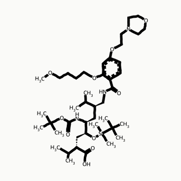 COCCCCOc1cc(OCCN2CCOCC2)ccc1C(=O)NC[C@@H](C[C@H](NC(=O)OC(C)(C)C)[C@H](C[C@H](C(=O)O)C(C)C)O[Si](C)(C)C(C)(C)C)C(C)C